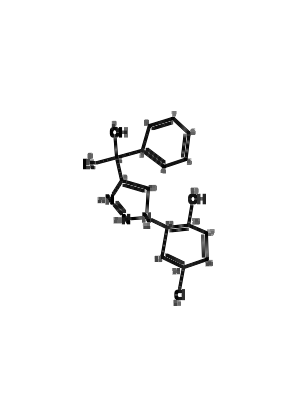 CCC(O)(c1ccccc1)c1cn(-c2cc(Cl)ccc2O)nn1